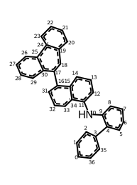 c1ccc(-c2ccccc2Nc2cccc3c(-c4cc5ccccc5c5ccccc45)cccc23)cc1